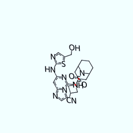 N#CC1CN(S(=O)(=O)N2C3CCCC2CC(Nc2nc(Nc4ncc(CO)s4)cc4nccn24)C3)C1